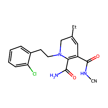 CCC1=CC(C(=O)NC#N)=C(C(N)=O)N(CCc2ccccc2Cl)C1